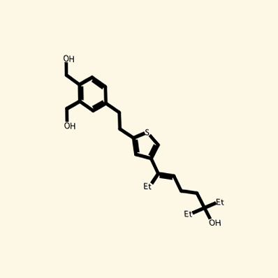 CC/C(=C\CCC(O)(CC)CC)c1csc(CCc2ccc(CO)c(CO)c2)c1